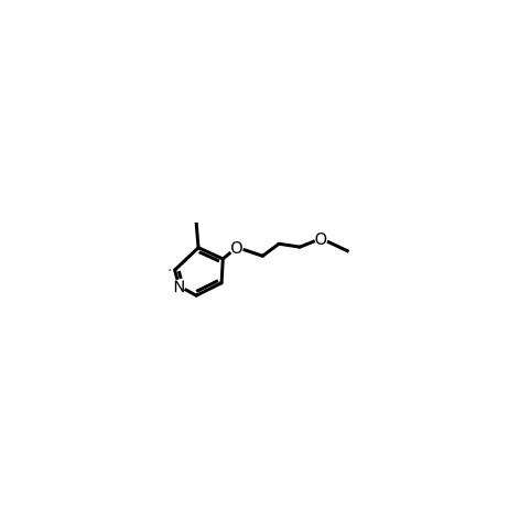 COCCCOc1ccn[c]c1C